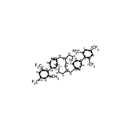 Cc1cc(C(F)(F)F)cc(C(F)(F)F)c1-c1ccc(CN2CCC[C@@H]2[C@H]2CCCN2Cc2ccc(-c3c(C)cc(C(F)(F)F)cc3C(F)(F)F)cn2)nc1